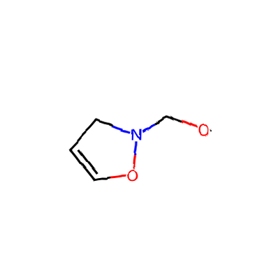 [O]CN1CC=CO1